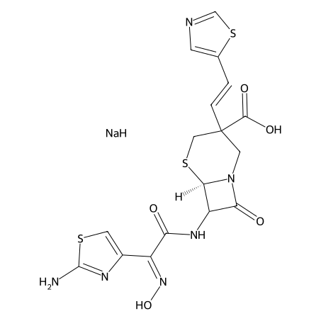 Nc1nc(C(=NO)C(=O)NC2C(=O)N3CC(C=Cc4cncs4)(C(=O)O)CS[C@H]23)cs1.[NaH]